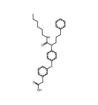 CCCCCCNC(=O)N(CCCc1ccccc1)c1ccc(Sc2cccc(CC(=O)O)c2)cc1